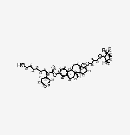 C[C@]12CCC3c4ccc(OC(=O)N(CCCCCCO)C5CCSSC5)cc4CC[C@H]3C1CC[C@@H]2OCCCOC(C(F)(F)F)C(F)(F)F